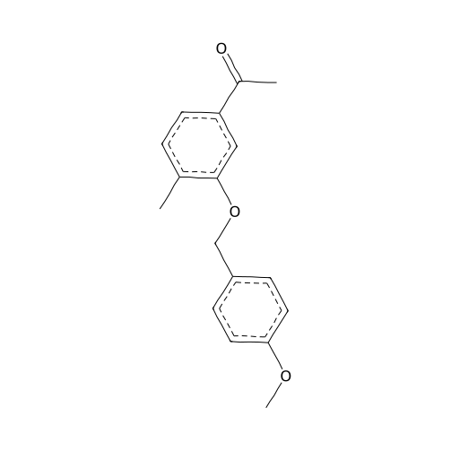 COc1ccc(COc2cc(C(C)=O)ccc2C)cc1